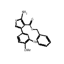 COc1ccc(-c2csc(N)c2C(=O)OCc2ccccc2)cc1OC